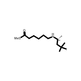 CSC(=O)CCCCCN[C@H](C)CC(C)(C)I